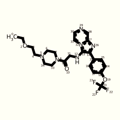 CCOCCN1CCN(C(=O)CNc2c(-c3ccc(OC(F)(F)F)cc3)nc3cnccn23)CC1